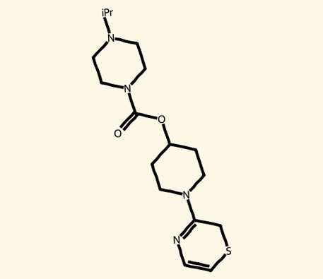 CC(C)N1CCN(C(=O)OC2CCN(C3=NC=CSC3)CC2)CC1